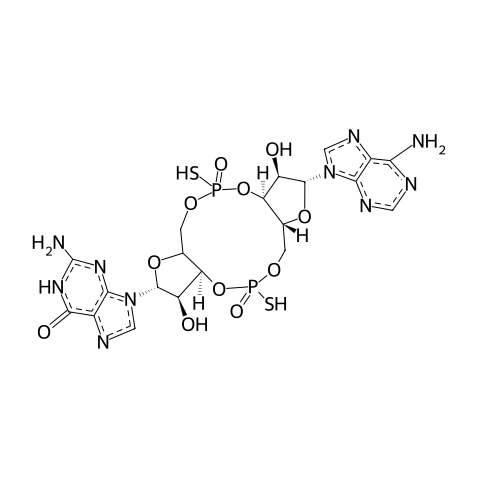 Nc1nc2c(ncn2[C@@H]2OC3COP(=O)(S)O[C@H]4[C@@H](O)[C@H](n5cnc6c(N)ncnc65)O[C@@H]4COP(=O)(S)O[C@H]3[C@H]2O)c(=O)[nH]1